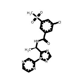 C[C@@H](NC(=O)c1cc(Cl)cc(S(C)(=O)=O)c1)c1ncnn1-c1cnccn1